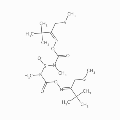 CSCC(=NOC(=O)N(C)[S+]([O-])N(C)C(=O)ON=C(CSC)C(C)(C)C)C(C)(C)C